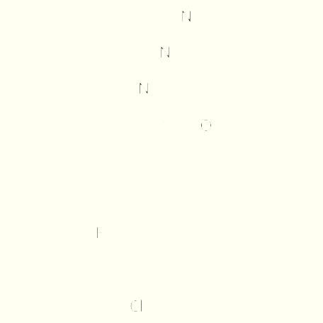 [N-]=[N+]=NC(=O)Cc1cccc(Cl)c1F